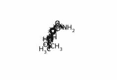 CC(C)C(=O)N1C[C@@H]2C[C@H]1CN2c1ccc(CS(=O)(=O)CCN)cc1